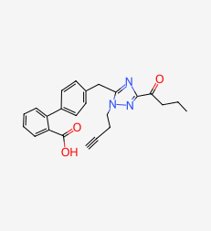 C#CCCn1nc(C(=O)CCC)nc1Cc1ccc(-c2ccccc2C(=O)O)cc1